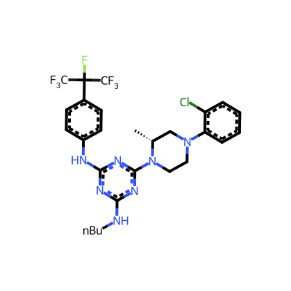 CCCCNc1nc(Nc2ccc(C(F)(C(F)(F)F)C(F)(F)F)cc2)nc(N2CCN(c3ccccc3Cl)C[C@H]2C)n1